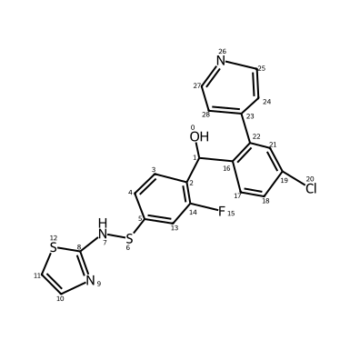 OC(c1ccc(SNc2nccs2)cc1F)c1ccc(Cl)cc1-c1ccncc1